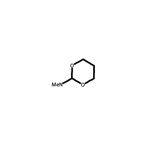 CNC1OCCCO1